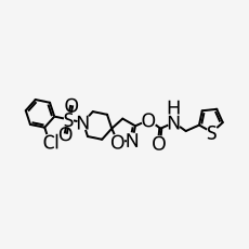 O=C(NCc1cccs1)OC1=NOC2(CCN(S(=O)(=O)c3ccccc3Cl)CC2)C1